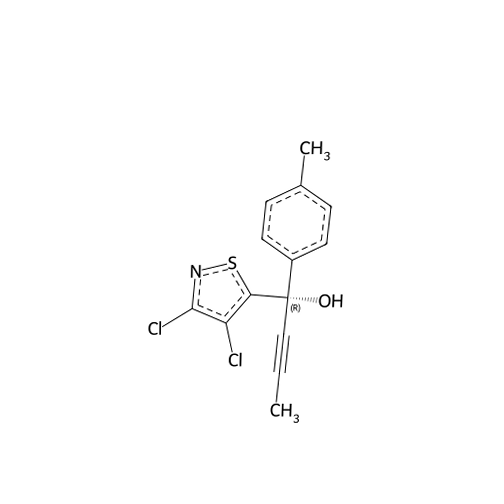 CC#C[C@](O)(c1ccc(C)cc1)c1snc(Cl)c1Cl